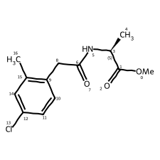 COC(=O)[C@H](C)NC(=O)Cc1ccc(Cl)cc1C